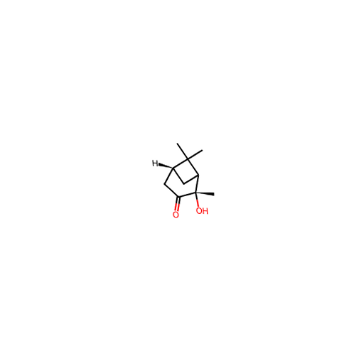 CC1(C)C2C[C@@H]1CC(=O)[C@@]2(C)O